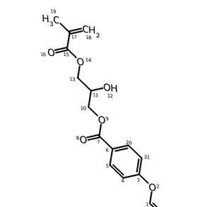 C=COc1ccc(C(=O)OCC(O)COC(=O)C(=C)C)cc1